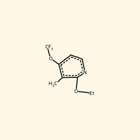 [CH2]c1c(OC(F)(F)F)ccnc1OCC